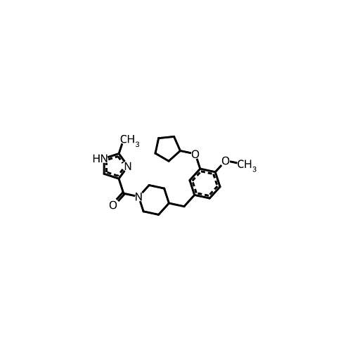 COc1ccc(CC2CCN(C(=O)c3c[nH]c(C)n3)CC2)cc1OC1CCCC1